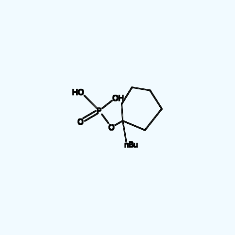 CCCCC1(OP(=O)(O)O)CCCCC1